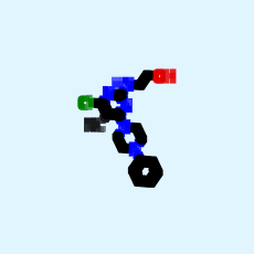 N#Cc1c(Cl)nc(NCCO)nc1N1CCN(c2ccccc2)CC1